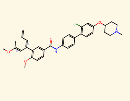 C=C/C=C(\C=C(/C)OC)c1cc(C(=O)Nc2ccc(-c3ccc(OC4CCN(C)CC4)cc3Cl)cc2)ccc1OC